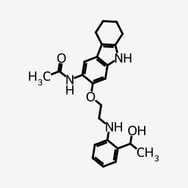 CC(=O)Nc1cc2c3c([nH]c2cc1OCCNc1ccccc1C(C)O)CCCC3